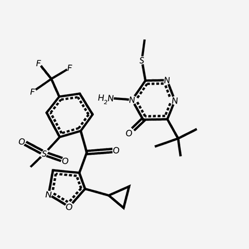 CS(=O)(=O)c1cc(C(F)(F)F)ccc1C(=O)c1cnoc1C1CC1.CSc1nnc(C(C)(C)C)c(=O)n1N